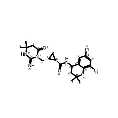 CC1(C)CC(=O)N(C[C@@H]2C[C@H]2C(=O)NC2CC(C)(C)Oc3c(Cl)cc(Cl)cc32)C(=N)N1